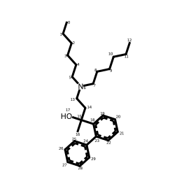 CCCCCCN(CCCCCC)CCC(C)(O)c1ccccc1-c1ccccc1